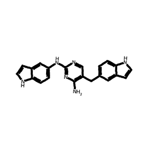 Nc1nc(Nc2ccc3[nH]ccc3c2)ncc1Cc1ccc2[nH]ccc2c1